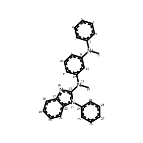 CN(c1ccccc1)c1cccc(N(C)c2nc3ccccc3n2-c2ccccc2)c1